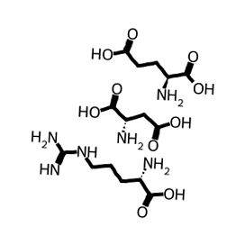 N=C(N)NCCC[C@H](N)C(=O)O.N[C@@H](CC(=O)O)C(=O)O.N[C@@H](CCC(=O)O)C(=O)O